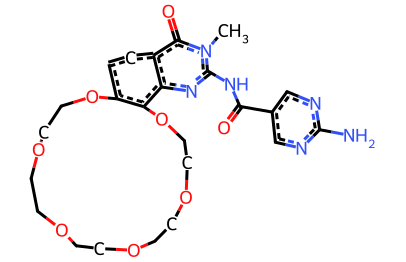 Cn1c(NC(=O)c2cnc(N)nc2)nc2c3c(ccc2c1=O)OCCOCCOCCOCCOCCO3